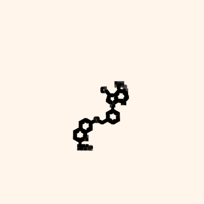 CNc1ccc2ccc(OCc3cccc(-n4cc(Cl)c5c(N)ncnc54)c3)cc2n1